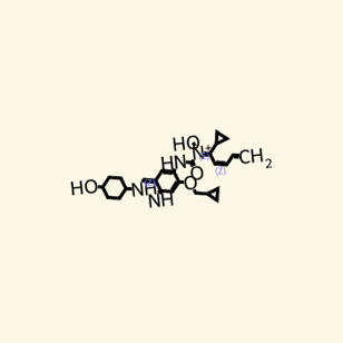 C=C/C=C\C(C1CC1)=[N+](\O)C(=O)NC1=C/C(=C/NC2CCC(O)CC2)C(=N)C=C1OCC1CC1